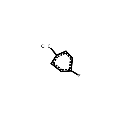 O=Cc1[c]cc(F)cc1